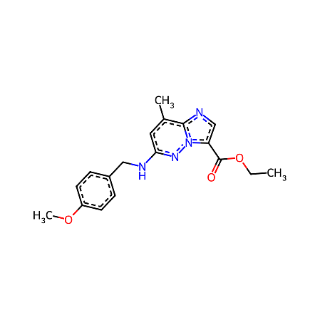 CCOC(=O)c1cnc2c(C)cc(NCc3ccc(OC)cc3)nn12